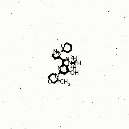 [2H]C([2H])([2H])n1nc(-c2ccnn2C2CCCCO2)c2nc(N3CCOC[C@H]3C)cc(O)c21